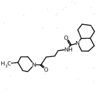 CC1CCN(C(=O)CCCNC(=O)N2CCCC3CCCCC32)CC1